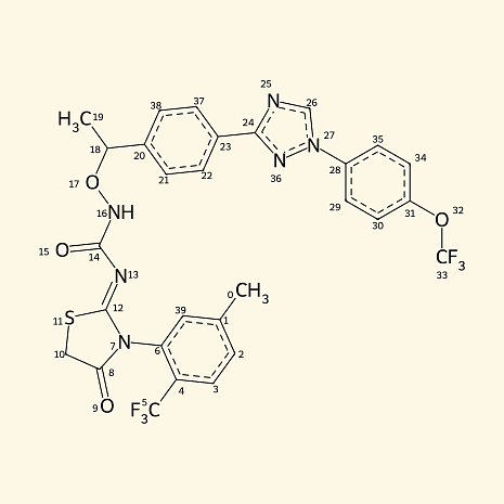 Cc1ccc(C(F)(F)F)c(N2C(=O)CS/C2=N\C(=O)NOC(C)c2ccc(-c3ncn(-c4ccc(OC(F)(F)F)cc4)n3)cc2)c1